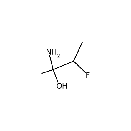 CC(F)C(C)(N)O